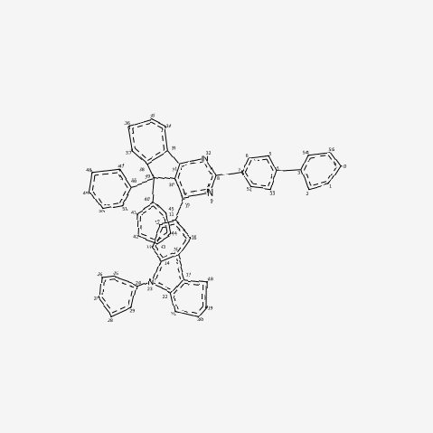 c1ccc(-c2ccc(-c3nc(-c4ccc5c(c4)c4ccccc4n5-c4ccccc4)c4c(n3)-c3ccccc3C4(c3ccccc3)c3ccccc3)cc2)cc1